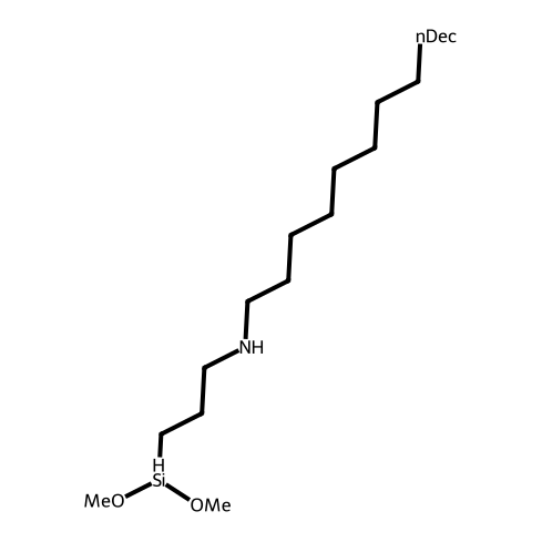 CCCCCCCCCCCCCCCCCCNCCC[SiH](OC)OC